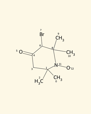 CC1(C)CC(=O)C(Br)C(C)(C)N1[O]